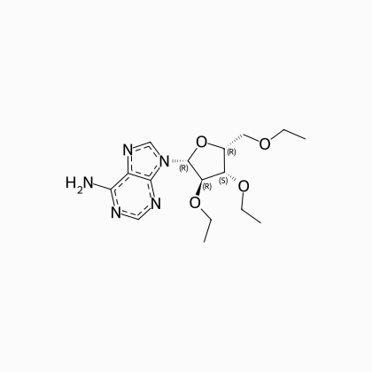 CCOC[C@H]1O[C@@H](n2cnc3c(N)ncnc32)[C@H](OCC)[C@H]1OCC